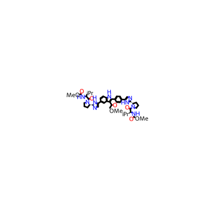 COCC1Oc2cc(-c3cnc([C@@H]4CCCN4C(=O)[C@@H](NC(=O)OC)C(C)C)[nH]3)ccc2-c2[nH]c3ccc(-c4cnc([C@@H]5CCCN5C(=O)C(NC(=O)OC)C(C)C)[nH]4)cc3c21